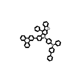 c1ccc(-c2ccc(N(c3ccccc3)c3ccc(-n4c5ccc(-c6ccc7c8ccccc8c8ccccc8c7c6)cc5c5c(-c6ccccc6)c6c(cc54)oc4ccccc46)cc3)cc2)cc1